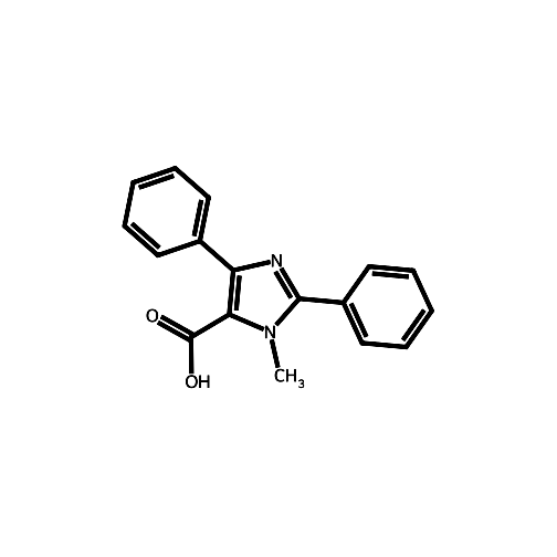 Cn1c(-c2ccccc2)nc(-c2ccccc2)c1C(=O)O